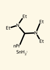 [CH2]CCC(N(CC)CC)N(CC)CC.[SnH2]